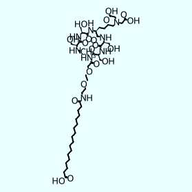 CN[C@@H](CO)C(=O)N[C@@H](CO)C(=O)N[C@@H](CCCCN(CC(=O)O)CC(=O)O)C(=O)N[C@@H](CO)C(=O)N[C@@H](CO)C(=O)NC(=O)COCCOCCNC(=O)CCCCCCCCCCCCCCCCC(=O)O